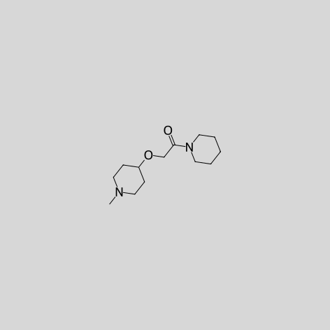 CN1CCC(OCC(=O)N2CCCCC2)CC1